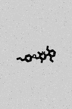 CCCc1ccc(OCc2c(C)cc(-c3c(CC)cccc3CC)nc2C)cc1